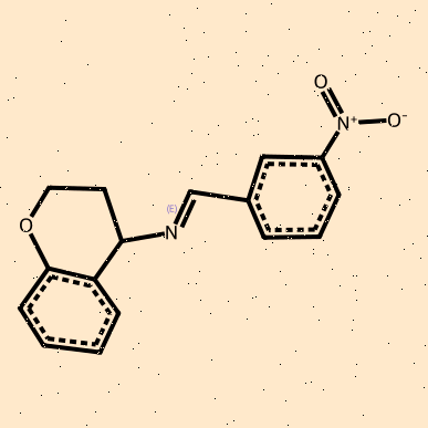 O=[N+]([O-])c1cccc(/C=N/C2CCOc3ccccc32)c1